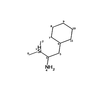 C[SiH](C)C(N)CC1CCCCC1